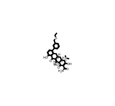 CCOCc1cccc(-c2ccc(O)c3c2C[C@H]2C[C@H]4[C@H](N(C)C)C(O)=C(C(N)=O)C(=O)[C@@]4(O)C(O)=C2C3=O)c1